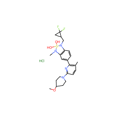 COC1CCN(c2ccc(C)c(-c3ccc4c(c3)N(C)S(O)(O)N4CC3CC3(F)F)n2)CC1.Cl